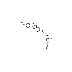 C=CCc1ccc(-c2cc3ccc(C=CCCCC(C)OCCCCC)cc3cn2)cc1